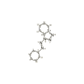 c1ccc(N=Nn2nnc3ccccc32)cc1